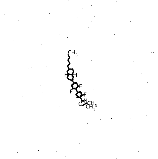 CCCCCCC1CC[C@@H]2C[C@H](c3cc(F)c(-c4ccc(C5=NC(C)(C)CO5)c(F)c4)c(F)c3)CC[C@@H]2C1